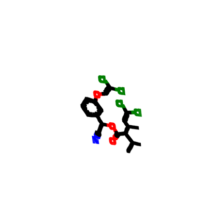 CC(C)C(C(=O)OC(C#N)c1cccc(OC=C(Cl)Cl)c1)C(C)C=C(Cl)Cl